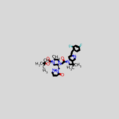 C[C@@H]1CN(CC(=O)N2CC(C)(C)c3cnc(Cc4ccc(F)cc4F)cc32)[C@@H](Cn2ncccc2=O)CN1C(=O)OC(C)(C)C